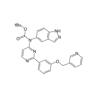 CC(C)(C)OC(=O)N(c1ccc2[nH]ncc2c1)c1ccnc(-c2cccc(OCc3cccnc3)c2)n1